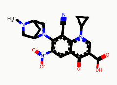 CN1CC2CC1CN2c1c([N+](=O)[O-])cc2c(=O)c(C(=O)O)cn(C3CC3)c2c1C#N